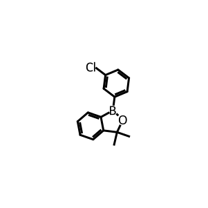 CC1(C)OB(c2cccc(Cl)c2)c2ccccc21